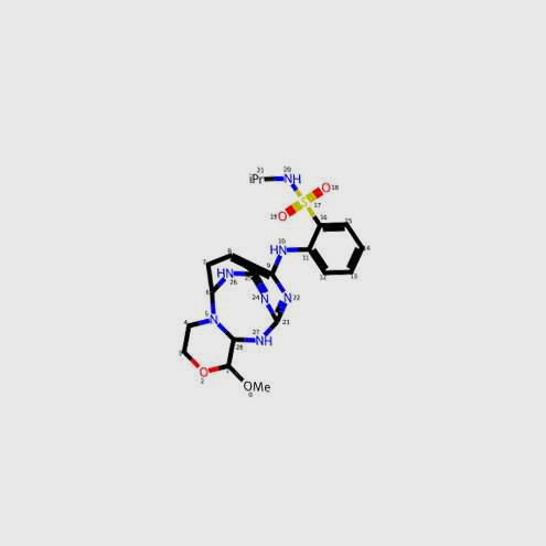 COC1OCCN2C3Cc4c(Nc5ccccc5S(=O)(=O)NC(C)C)nc(nc4N3)NC12